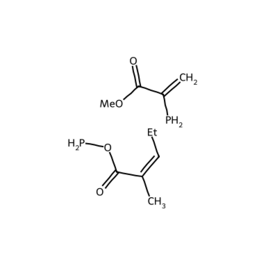 C=C(P)C(=O)OC.CCC=C(C)C(=O)OP